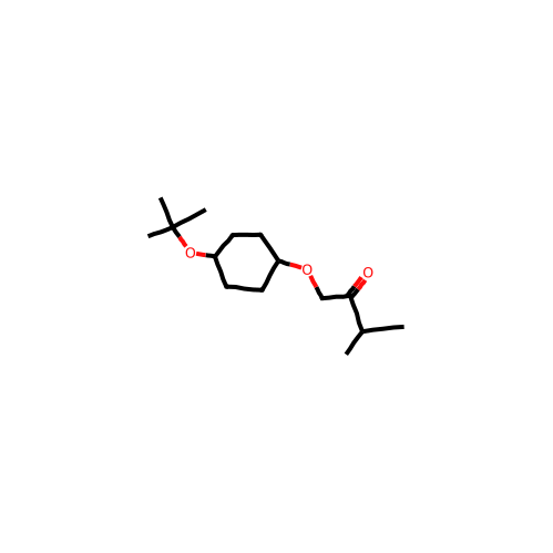 CC(C)C(=O)COC1CCC(OC(C)(C)C)CC1